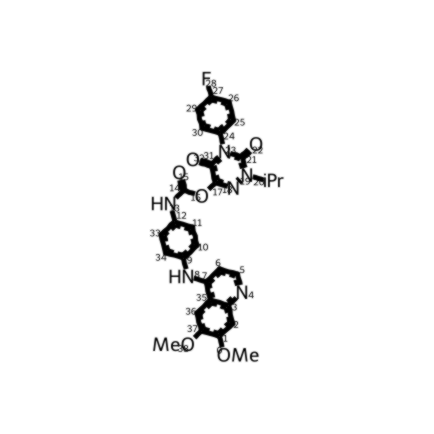 COc1cc2nccc(Nc3ccc(NC(=O)Oc4nn(C(C)C)c(=O)n(-c5ccc(F)cc5)c4=O)cc3)c2cc1OC